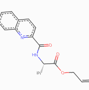 C=CCOC(=O)[C@@H](NC(=O)c1ccc2ccccc2n1)C(C)C